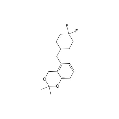 CC1(C)OCc2c(CC3CCC(F)(F)CC3)cccc2O1